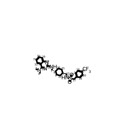 CN(C)c1nc(NC[C@H]2CC[C@H](CNS(=O)(=O)Cc3ccc(C(F)(F)F)cc3)CC2)nc2ccccc12